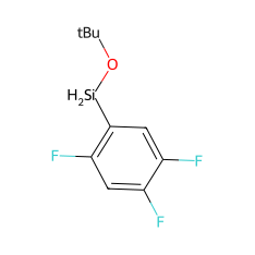 CC(C)(C)O[SiH2]c1cc(F)c(F)cc1F